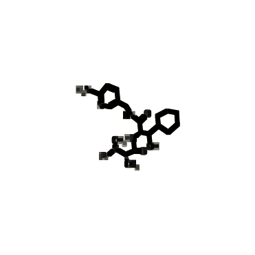 CC(C)N(C)[C@@H](C)C(=O)N[C@@H](C(=O)NCc1ccc(N)nc1)C(O)C1CCCCC1